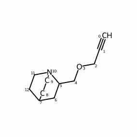 C#CCOCC1CC2CCN1CC2